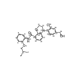 CC(C)COc1ccccc1NC(=O)c1cccc2c1OCCN2c1ncc(CO)cc1Cl